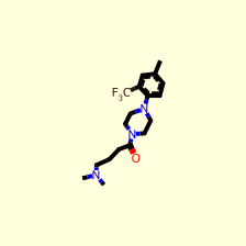 Cc1ccc(N2CCN(C(=O)CCCN(C)C)CC2)c(C(F)(F)F)c1